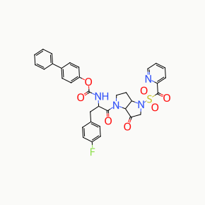 O=C(NC(Cc1ccc(F)cc1)C(=O)N1CCC2C1C(=O)CN2S(=O)(=O)C(=O)c1ccccn1)Oc1ccc(-c2ccccc2)cc1